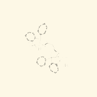 CC(C)(C)[C@H]1N=C(CC2=N[C@H](C(C)(C)C)C(c3ccccc3)(c3ccccc3)O2)OC1(c1ccccc1)c1ccccc1